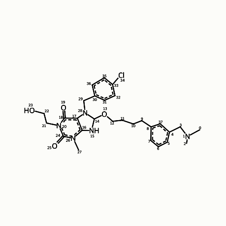 CN(C)Cc1cccc(CCCCOC2Nc3c(c(=O)n(CCO)c(=O)n3C)N2Cc2ccc(Cl)cc2)c1